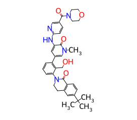 Cn1cc(-c2cccc(N3CCc4cc(C(C)(C)C)ccc4C3=O)c2CO)cc(Nc2ccc(C(=O)N3CCOCC3)cn2)c1=O